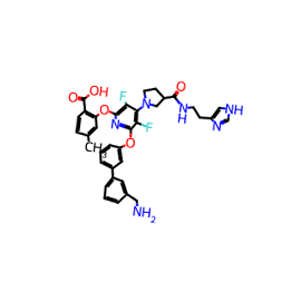 Cc1ccc(C(=O)O)c(Oc2nc(Oc3cccc(-c4cccc(CN)c4)c3)c(F)c(N3CCC(C(=O)NCCc4c[nH]cn4)C3)c2F)c1